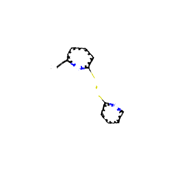 CCCc1cccc(SSc2ccccn2)n1